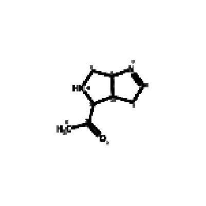 CC(=O)C1NCC2N=CCC21